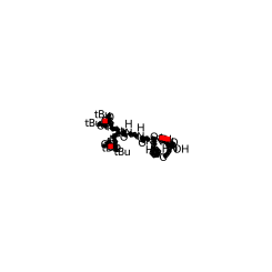 CC1C[C@H]2C(=O)N1C(C(=O)NCC(=O)NCCCNC(=O)CN(CCN(CC(=O)OC(C)(C)C)CC(=O)OC(C)(C)C)CCN(CC(=O)OC(C)(C)C)CC(=O)OC(C)(C)C)Cc1ccc(cc1)OCCC[C@@H]2C(=O)NO